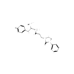 O=C(CCN1CCN(c2ccccc2)C1=O)NC(Cc1ccc(F)cc1)B(O)O